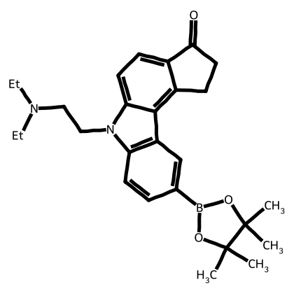 CCN(CC)CCn1c2ccc(B3OC(C)(C)C(C)(C)O3)cc2c2c3c(ccc21)C(=O)CC3